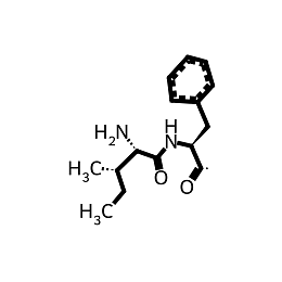 CC[C@H](C)[C@H](N)C(=O)N[C@H]([C]=O)Cc1ccccc1